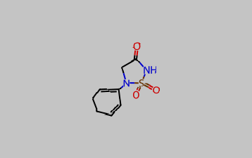 O=C1CN(C2=CCCC=C2)S(=O)(=O)N1